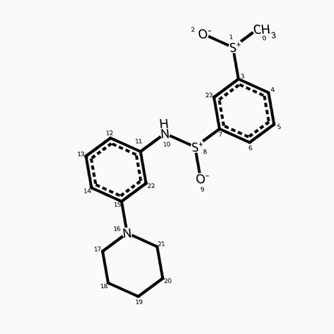 C[S+]([O-])c1cccc([S+]([O-])Nc2cccc(N3CCCCC3)c2)c1